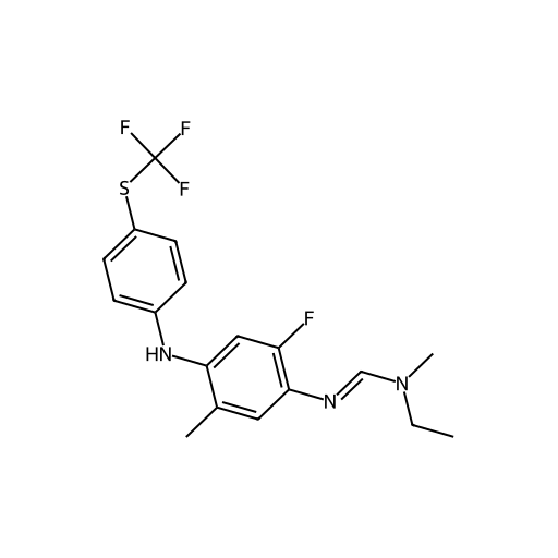 CCN(C)/C=N/c1cc(C)c(Nc2ccc(SC(F)(F)F)cc2)cc1F